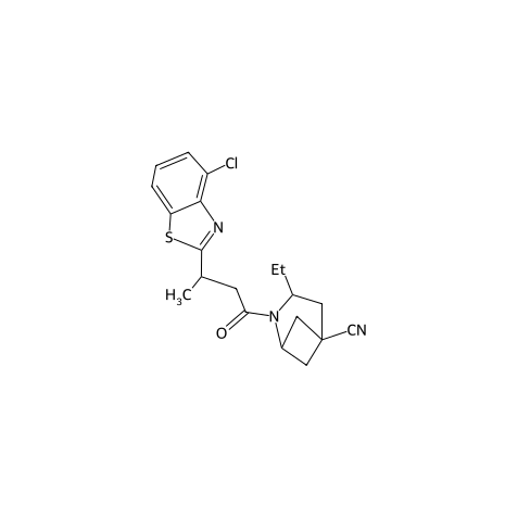 CCC1CC2(C#N)CC(C2)N1C(=O)CC(C)c1nc2c(Cl)cccc2s1